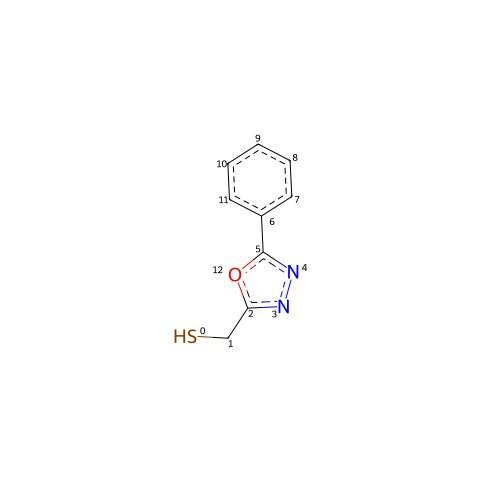 SCc1nnc(-c2ccccc2)o1